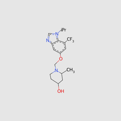 CC1CC(O)CCN1COc1cc(C(F)(F)F)c2c(c1)ncn2C(C)C